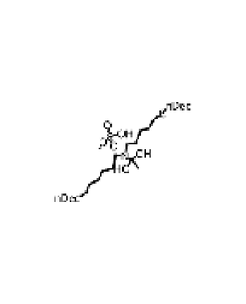 CCCCCCCCCCCCCCCCN(CCCCCCCCCCCCCCCC)C(C)(O)O.COS(=O)(=O)O